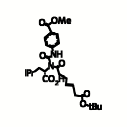 COC(=O)c1ccc(NC(=O)N(C(=O)CCC=CCC(=O)OC(C)(C)C)[C@@H](CC(C)C)C(=O)O)cc1